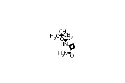 CC(C)(C)OC(=O)N[C@H]1CC[C@@H]1C(N)=O